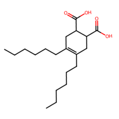 CCCCCCC1=C(CCCCCC)CC(C(=O)O)C(C(=O)O)C1